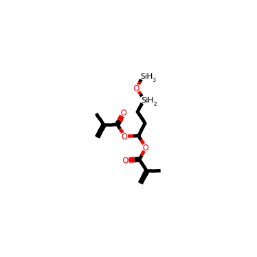 C=C(C)C(=O)OC(CC[SiH2]O[SiH3])OC(=O)C(=C)C